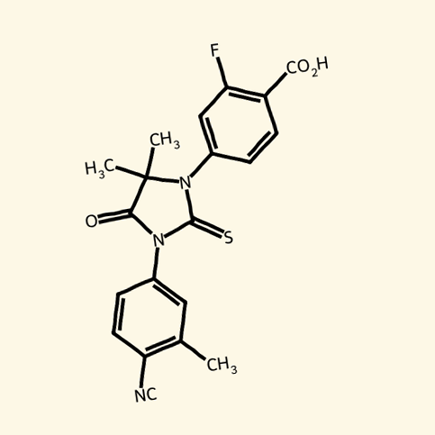 [C-]#[N+]c1ccc(N2C(=O)C(C)(C)N(c3ccc(C(=O)O)c(F)c3)C2=S)cc1C